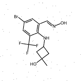 CC1(O)CC(Nc2c(C=NO)cc(Br)cc2C(F)(F)F)C1